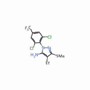 CCc1c(SC)nn(-c2c(Cl)cc(C(F)(F)F)cc2Cl)c1N